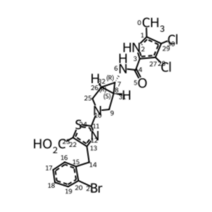 Cc1[nH]c(C(=O)N[C@@H]2[C@@H]3CN(c4nc(Cc5ccccc5Br)c(C(=O)O)s4)C[C@@H]32)c(Cl)c1Cl